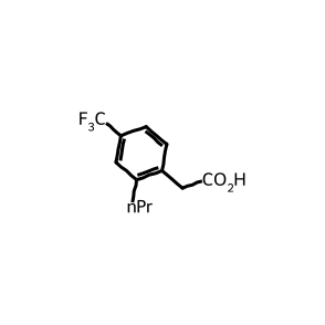 CCCc1cc(C(F)(F)F)ccc1CC(=O)O